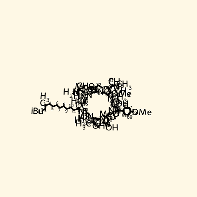 CCC(C)CC(C)CCCCCCCCC(=O)N[C@H]1C[C@@H](O)C(NCC(C)N)N(C)C(=O)[C@@H]2[C@@H](OC)CCN2C(=O)C([C@@H](CC(C)N(C)C)OC)N(C)C(=O)C([C@H](O)[C@@H](OC)c2ccc(OC)cc2)NC(=O)C2C[C@@H](O)CN2C(=O)C([C@@H](C)O)N(C)C1=O